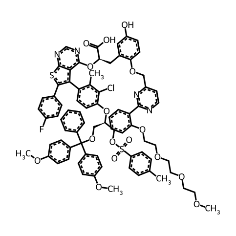 COCCOCCOCCOc1ccccc1-c1nccc(COc2ccc(O)cc2C[C@@H](Oc2ncnc3sc(-c4ccc(F)cc4)c(-c4ccc(O[C@H](COC(c5ccccc5)(c5ccc(OC)cc5)c5ccc(OC)cc5)COS(=O)(=O)c5ccc(C)cc5)c(Cl)c4C)c23)C(=O)O)n1